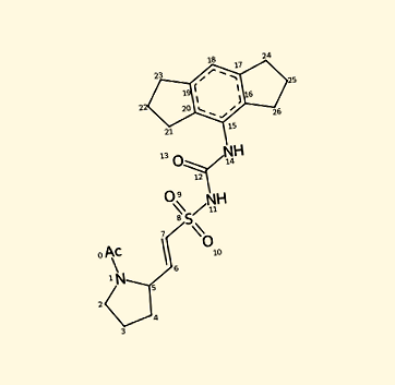 CC(=O)N1CCCC1/C=C/S(=O)(=O)NC(=O)Nc1c2c(cc3c1CCC3)CCC2